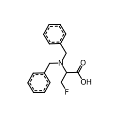 O=C(O)C(CF)N(Cc1ccccc1)Cc1ccccc1